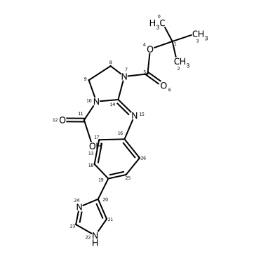 CC(C)(C)OC(=O)N1CCN(C(=O)O)C1=Nc1ccc(-c2c[nH]cn2)cc1